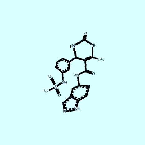 CC1=C(C(=O)Nc2ccc3[nH]ncc3c2)C(c2cccc(NS(C)(=O)=O)c2)NC(=O)N1